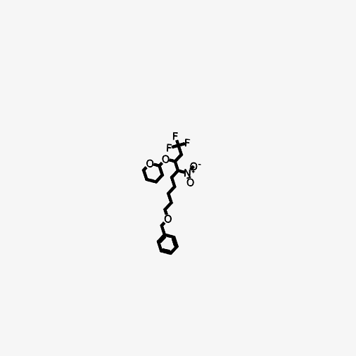 O=[N+]([O-])C(CCCCCOCc1ccccc1)C(CC(F)(F)F)OC1CCCCO1